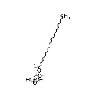 C=CCCCCCCCCCCCCCCCCCCCCC(=O)OCC(O)CP(=O)(O)O